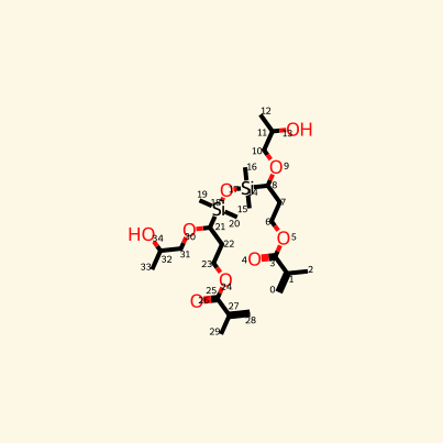 C=C(C)C(=O)OCCC(OCC(C)O)[Si](C)(C)O[Si](C)(C)C(CCOC(=O)C(=C)C)OCC(C)O